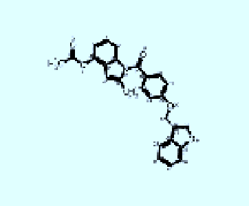 CC(=O)Oc1cccc2c1cc(C)n2C(=O)c1ccc(OC[C@H]2COc3ccccc32)cc1